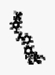 CC(C)(Oc1cccc([C@@H]2CCCN(C(=O)OCc3ccc(OC(F)(F)F)cc3)C2)c1)C(=O)O